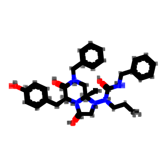 CCCN(C(=O)NCc1ccccc1)N1CC(=O)N2[C@@H](Cc3ccc(O)cc3)C(=O)N(Cc3ccccc3)C[C@@H]21